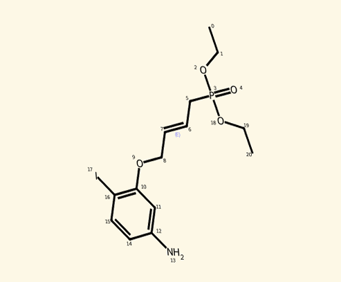 CCOP(=O)(C/C=C/COc1cc(N)ccc1I)OCC